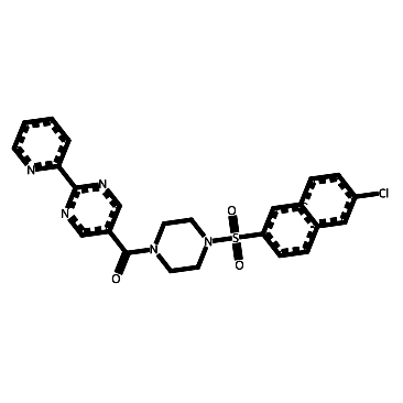 O=C(c1cnc(-c2ccccn2)nc1)N1CCN(S(=O)(=O)c2ccc3cc(Cl)ccc3c2)CC1